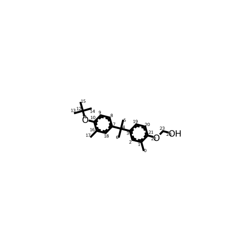 Cc1cc(C(C)(C)c2ccc(OC(C)(C)C)c(C)c2)ccc1OCO